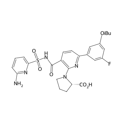 CC(C)COc1cc(F)cc(-c2ccc(C(=O)NS(=O)(=O)c3cccc(N)n3)c(N3CCC[C@H]3C(=O)O)n2)c1